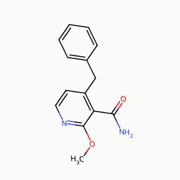 COc1nccc(Cc2ccccc2)c1C(N)=O